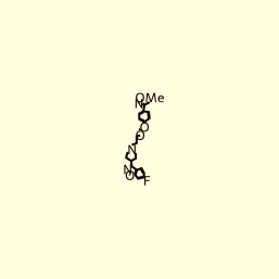 CON=C(C)c1ccc(OCOCCCN2CCC(c3noc4cc(F)ccc34)CC2)cc1